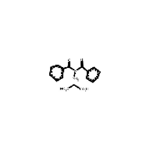 NN(C(=O)c1ccccc1)C(=O)c1ccccc1.O=C(O)CC(=O)O